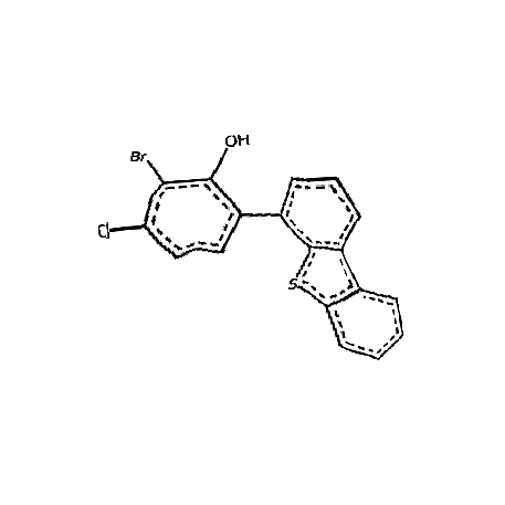 Oc1c(-c2cccc3c2sc2ccccc23)ccc(Cl)c1Br